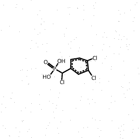 O=P(O)(O)C(Cl)c1ccc(Cl)c(Cl)c1